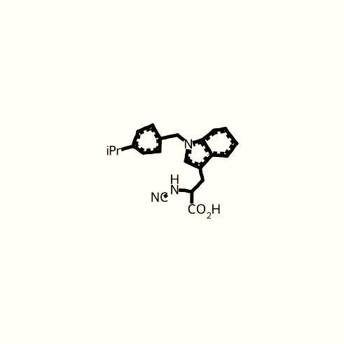 CC(C)c1ccc(Cn2cc(CC(NC#N)C(=O)O)c3ccccc32)cc1